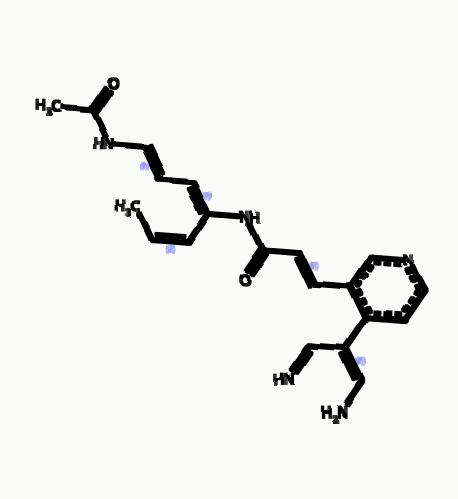 C\C=C/C(=C\C=C\NC(C)=O)NC(=O)/C=C/c1cnccc1/C(C=N)=C/N